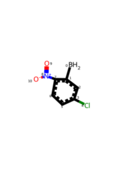 Bc1cc(Cl)ccc1[N+](=O)[O-]